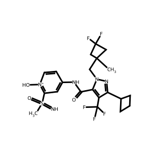 CC1(Cn2nc(C3CCC3)c(C(F)(F)F)c2C(=O)Nc2cc[n+](O)c(S(C)(=N)=O)c2)CC(F)(F)C1